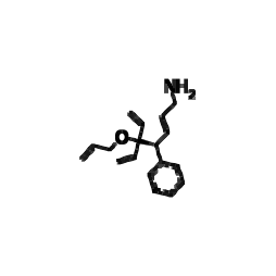 C=CCOC(C=C)(C=C)[C@@H](C=CCN)c1ccccc1